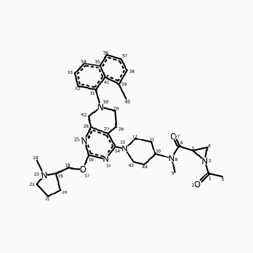 CC(=O)N1CC1C(=O)N(C)C1CCN(c2nc(OCC3CCCN3C)nc3c2CCN(c2cccc4cccc(C)c24)C3)CC1